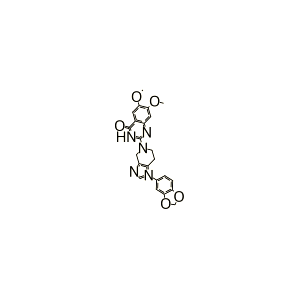 COc1cc2nc(N3CCc4c(ncn4-c4ccc5c(c4)OCO5)C3)[nH]c(=O)c2cc1OC